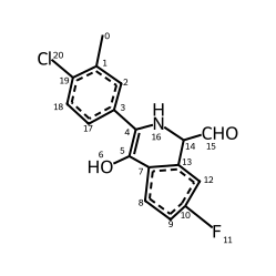 Cc1cc(C2=C(O)c3ccc(F)cc3C(C=O)N2)ccc1Cl